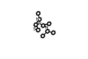 c1ccc(-c2cc(-c3ccccc3)cc(-n3c4ccccc4c4cc(-n5c6ccc(-c7ccccc7)nc6c6ccc7sc8ccccc8c7c65)ccc43)c2)cc1